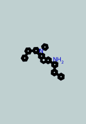 Nc1ccc(-c2cccc(-c3ccccc3)c2)cc1-c1ccc2c(c1)CCc1cc3c4cc(-c5cccc(-c6ccccc6)c5)ccc4n(-c4ccccc4)c3cc1-2